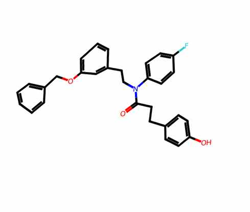 O=C(CCc1ccc(O)cc1)N(CCc1cccc(OCc2ccccc2)c1)c1ccc(F)cc1